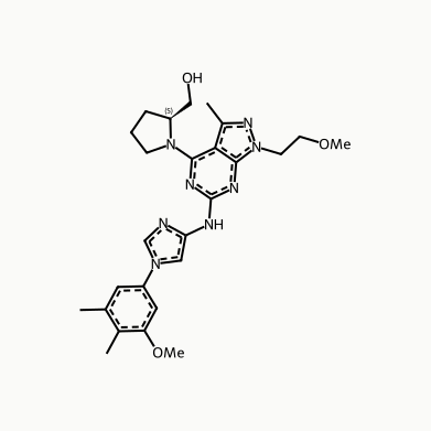 COCCn1nc(C)c2c(N3CCC[C@H]3CO)nc(Nc3cn(-c4cc(C)c(C)c(OC)c4)cn3)nc21